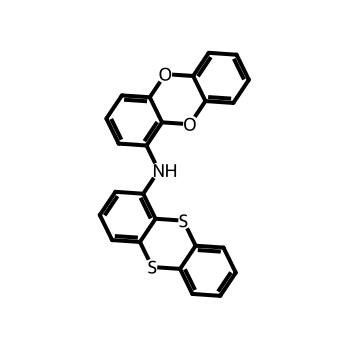 c1ccc2c(c1)Oc1cccc(Nc3cccc4c3Sc3ccccc3S4)c1O2